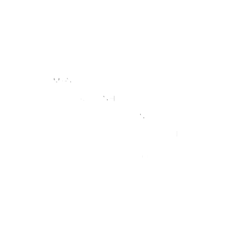 CCC(=O)NCNC(=O)NC